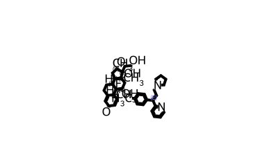 C[C@@H]1C[C@H]2[C@@H]3CCC4=CC(=O)C=C[C@]4(C)[C@@]3(F)[C@@H](O)C[C@]2(C)[C@@]1(O)C(=O)CO.Cc1ccc(/C(=C\CN2CCCC2)c2ccccn2)cc1